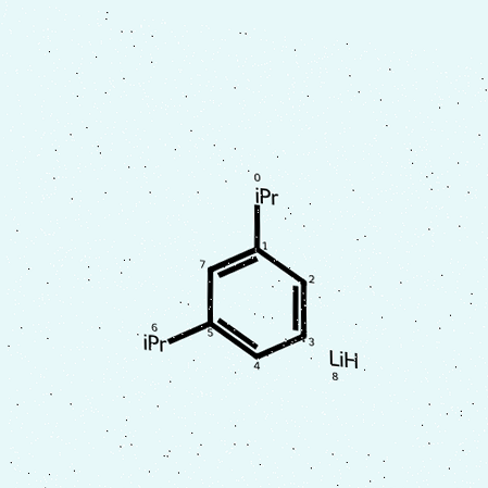 CC(C)c1c[c]cc(C(C)C)c1.[LiH]